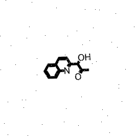 CC(=O)C(O)c1ccc2ccccc2n1